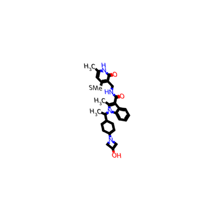 CSc1cc(C)[nH]c(=O)c1CNC(=O)c1c(C)n(C(C)C2CCC(N3CC(O)C3)CC2)c2ccccc12